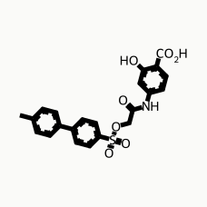 Cc1ccc(-c2ccc(S(=O)(=O)OCC(=O)Nc3ccc(C(=O)O)c(O)c3)cc2)cc1